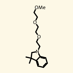 COCCOCCOCCN1CC(C)(C)c2ccccc21